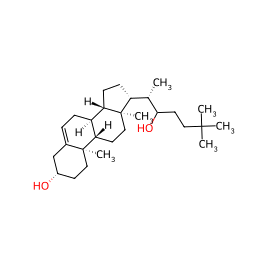 C[C@H](C(O)CCC(C)(C)C)[C@H]1CC[C@H]2[C@@H]3CC=C4C[C@@H](O)CC[C@]4(C)[C@H]3CC[C@]12C